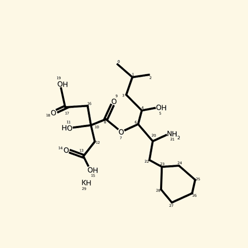 CC(C)CC(O)C(OC(=O)C(O)(CC(=O)O)CC(=O)O)C(N)CC1CCCCC1.[KH]